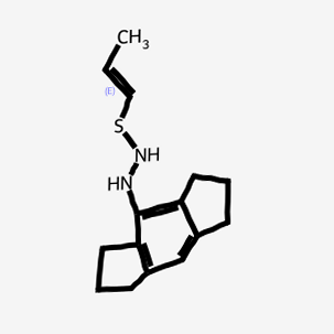 C/C=C/SNNc1c2c(cc3c1CCC3)CCC2